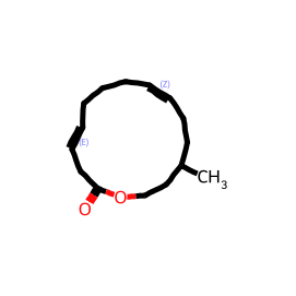 CC1CC/C=C\CCC/C=C/CC(=O)OCC1